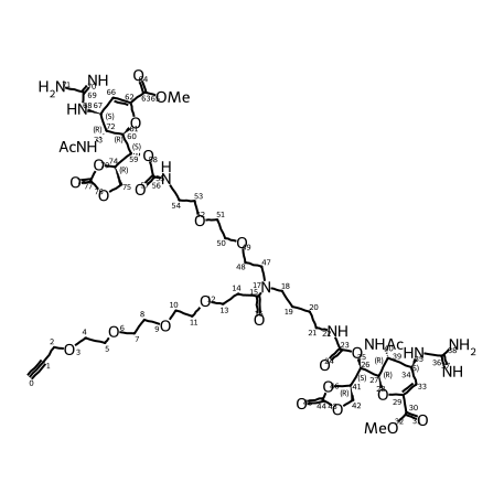 C#CCOCCOCCOCCOCCC(=O)N(CCCCNC(=O)O[C@@H]([C@@H]1OC(C(=O)OC)=C[C@H](NC(=N)N)[C@H]1NC(C)=O)[C@H]1COC(=O)O1)CCOCCOCCNC(=O)O[C@@H]([C@@H]1OC(C(=O)OC)=C[C@H](NC(=N)N)[C@H]1NC(C)=O)[C@H]1COC(=O)O1